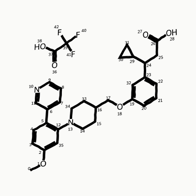 COc1ccc(-c2cccnc2)c(N2CCC(COc3cccc(C(CC(=O)O)C4CC4)c3)CC2)c1.O=C(O)C(F)(F)F